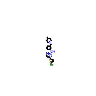 CC1CCN(Cc2cccc(Nc3nccc(-c4ccc(Br)s4)n3)c2)CC1